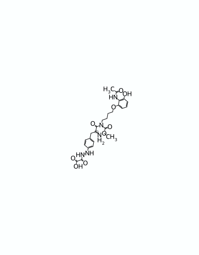 COC(=O)N(CCCCOc1cccc(O)c1NC(C)=O)C(=O)[C@@H](N)Cc1ccc(NNC(=O)C(=O)O)cc1